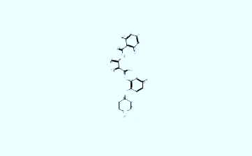 CN1CCC(Oc2ccc(F)cc2NC(=O)c2n[nH]cc2NC(=O)c2c(F)cccc2F)CC1